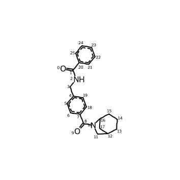 O=C(NCc1ccc(C(=O)N2CC3CCCC2C3)cc1)c1ccccc1